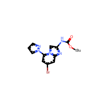 CC(C)(C)OC(=O)Nc1cn2c(-n3cccn3)cc(Br)cc2n1